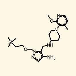 COc1nccc(C)c1N1CCC(NCc2c(N)cnn2COCC[Si](C)(C)C)CC1